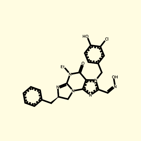 CCN1C(=O)c2c(nc(/C=N\O)n2Cc2ccc(O)c(Cl)c2)N2C[C@@H](Cc3ccccc3)N=C12